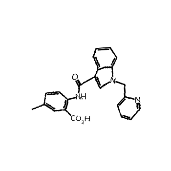 Cc1ccc(NC(=O)c2cn(Cc3ccccn3)c3ccccc23)c(C(=O)O)c1